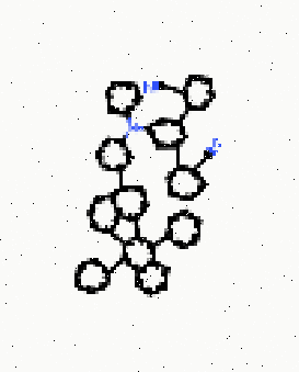 N#Cc1ccccc1-c1cc(-c2ccccc2C#N)cc(N(c2ccccc2)c2cccc(-c3ccc4c5c(cccc35)-c3c-4c(-c4ccccc4)c4ccccc4c3-c3ccccc3)c2)c1